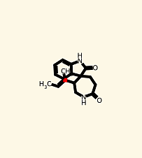 CC=C(C)C1CNC(=O)CCC12C(=O)NC1=CC=CCC12